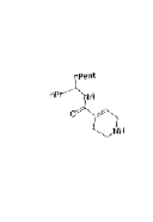 CCCCCC(CCC)NC(=O)C1=CCNCC1